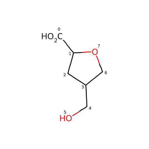 O=C(O)C1CC(CO)CO1